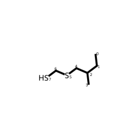 CCC(C)CSCS